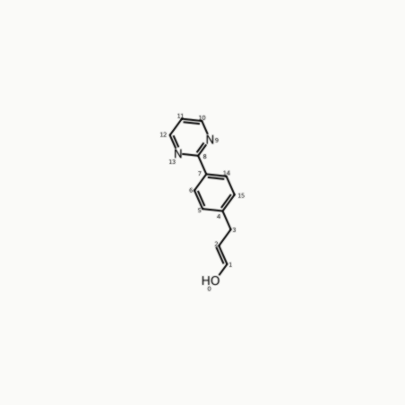 O/C=C/Cc1ccc(-c2ncccn2)cc1